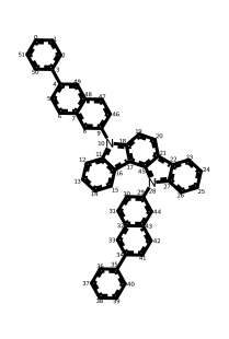 c1ccc(-c2ccc3cc(-n4c5ccccc5c5c4ccc4c6ccccc6n(-c6ccc7cc(-c8ccccc8)ccc7c6)c45)ccc3c2)cc1